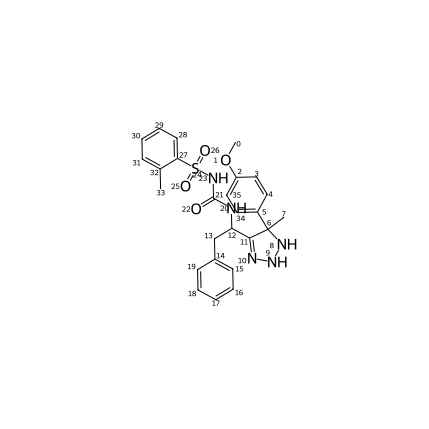 COc1ccc(C2(C)NNN=C2C(Cc2ccccc2)NC(=O)NS(=O)(=O)c2ccccc2C)cc1